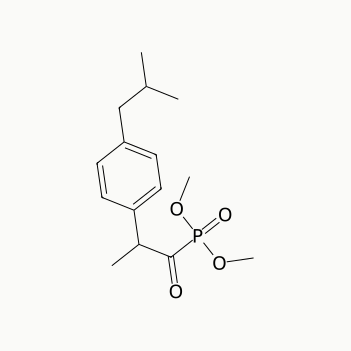 COP(=O)(OC)C(=O)C(C)c1ccc(CC(C)C)cc1